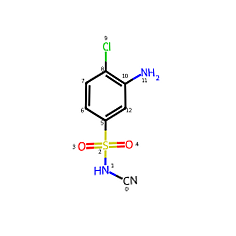 N#CNS(=O)(=O)c1ccc(Cl)c(N)c1